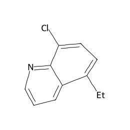 CCc1ccc(Cl)c2ncccc12